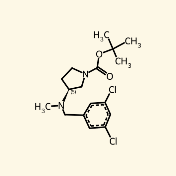 CN(Cc1cc(Cl)cc(Cl)c1)[C@H]1CCN(C(=O)OC(C)(C)C)C1